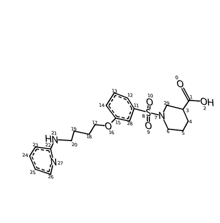 O=C(O)C1CCCN(S(=O)(=O)c2cccc(OCCCCNc3ccccn3)c2)C1